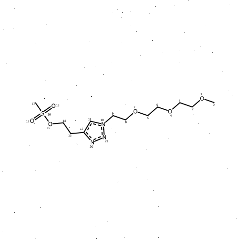 COCCOCCOCCn1cc(CCOS(C)(=O)=O)nn1